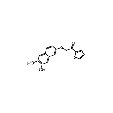 O=C(CSc1ccc2cc(O)c(O)cc2c1)c1cccs1